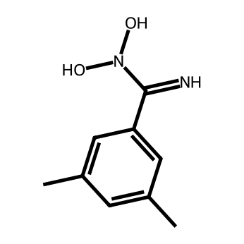 Cc1cc(C)cc(C(=N)N(O)O)c1